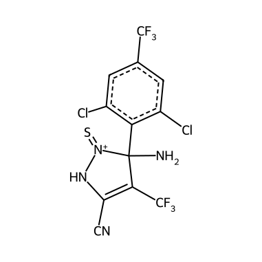 N#CC1=C(C(F)(F)F)C(N)(c2c(Cl)cc(C(F)(F)F)cc2Cl)[N+](=S)N1